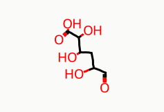 O=CC(O)CC(O)C(O)C(=O)O